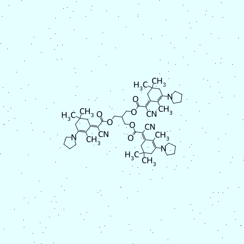 CC1=C(N2CCCC2)CC(C)(C)C/C1=C(/C#N)C(=O)OCC(COC(=O)/C(C#N)=C1\CC(C)(C)CC(N2CCCC2)=C1C)COC(=O)/C(C#N)=C1\CC(C)(C)CC(N2CCCC2)=C1C